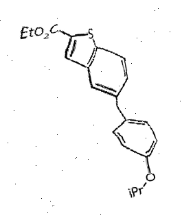 CCOC(=O)c1cc2cc(-c3ccc(OC(C)C)cc3)ccc2s1